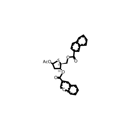 CC(=O)OC1C[C@H](OC(=O)c2ccc3ccccc3c2)[C@H](COC(=O)c2ccc3ccccc3c2)S1